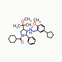 COc1ccc(C2CCCC2)cc1CNC1C(c2ccccc2)N(C(=O)C2CCCCC2)CC1C(C)(C)OC